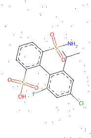 CC(C)c1cc(Cl)cc(F)c1-c1c(S(N)(=O)=O)cccc1S(=O)(=O)O